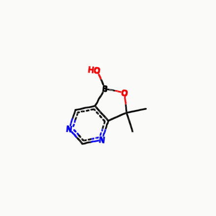 CC1(C)OB(O)c2cncnc21